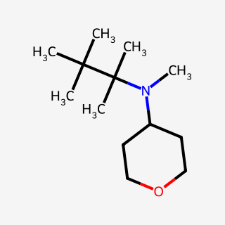 CN(C1CCOCC1)C(C)(C)C(C)(C)C